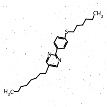 CCCCCCCCc1cnc(-c2ccc(SCCCCCC)cc2)nc1